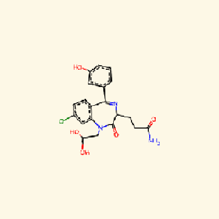 NC(=O)CCC1N=C(c2cccc(O)c2)c2ccc(Cl)cc2N(CC(O)O)C1=O